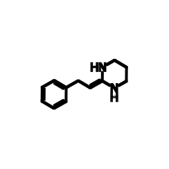 C(Cc1ccccc1)=C1NCCCN1